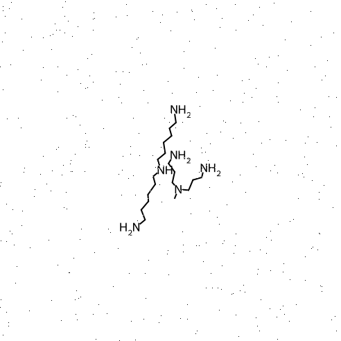 CN(CCCN)CCCN.NCCCCCCNCCCCCCN